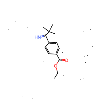 CCOC(=O)c1ccc(C(=N)C(C)(C)C)cc1